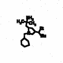 CCC(C)C(CC)C1CC(CC(C)(C)N)N(CC2CCCCC2)C1